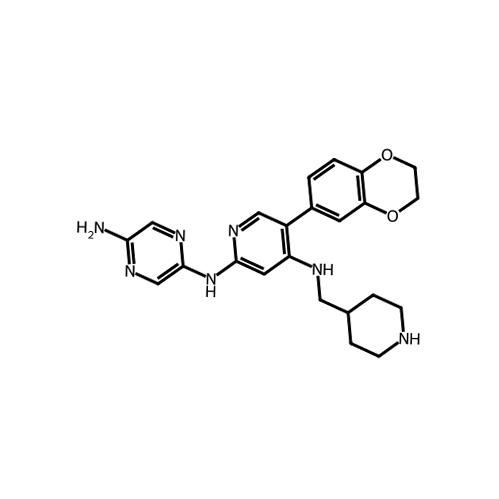 Nc1cnc(Nc2cc(NCC3CCNCC3)c(-c3ccc4c(c3)OCCO4)cn2)cn1